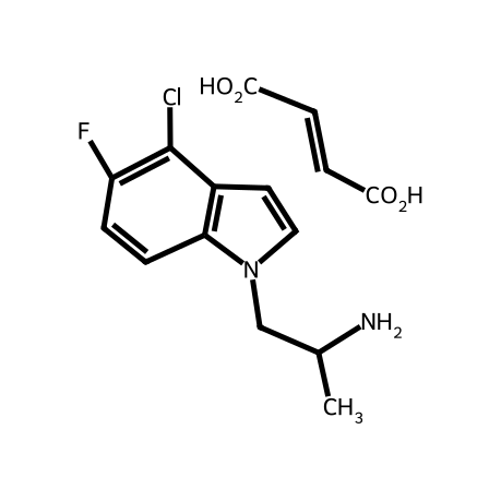 CC(N)Cn1ccc2c(Cl)c(F)ccc21.O=C(O)/C=C/C(=O)O